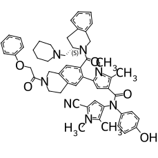 Cc1c(N(C(=O)c2cc(-c3cc4c(cc3C(=O)N3Cc5ccccc5C[C@H]3CN3CCCCC3)CN(C(=O)COc3ccccc3)CC4)n(C)c2C)c2ccc(O)cc2)cc(C#N)n1C